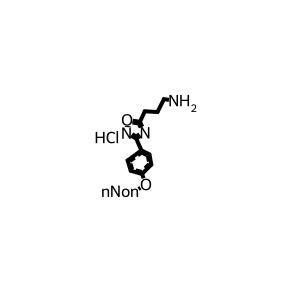 CCCCCCCCCOc1ccc(-c2noc(CCCN)n2)cc1.Cl